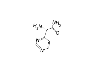 NC(=O)[C@@H](N)c1ccncn1